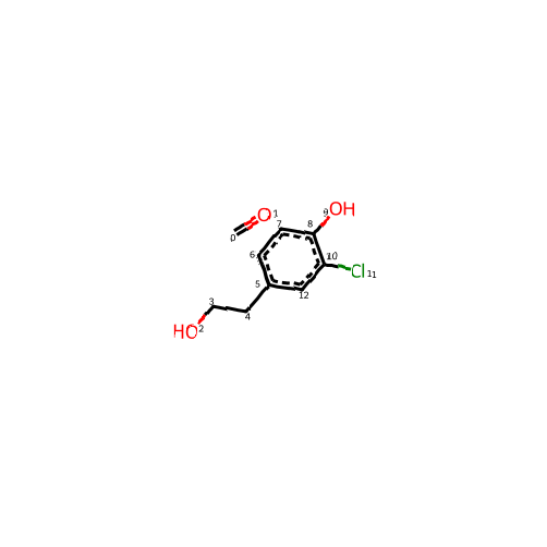 C=O.OCCc1ccc(O)c(Cl)c1